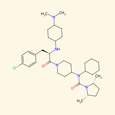 C[C@@H]1CC[C@H](C)N1C(=O)N(C1CCCCC1)C1CCN(C(=O)[C@@H](Cc2ccc(Cl)cc2)NC2CCC(N(C)C)CC2)CC1